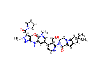 Cn1nc(Nc2cc(-c3ccnc(N4CCn5c(cc6c5CC(C)(C)C6)C4=O)c3CO)cn(C)c2=O)cc1C(=O)N1CCCC1